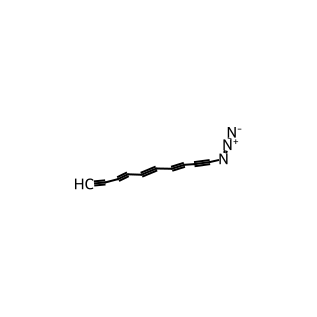 C#CC#CC#CC#CC#CN=[N+]=[N-]